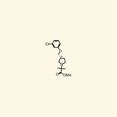 COC(=O)C(C)(C)N1CC[C@@H](COc2cccc(Cl)c2)C1